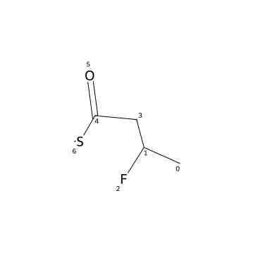 CC(F)CC(=O)[S]